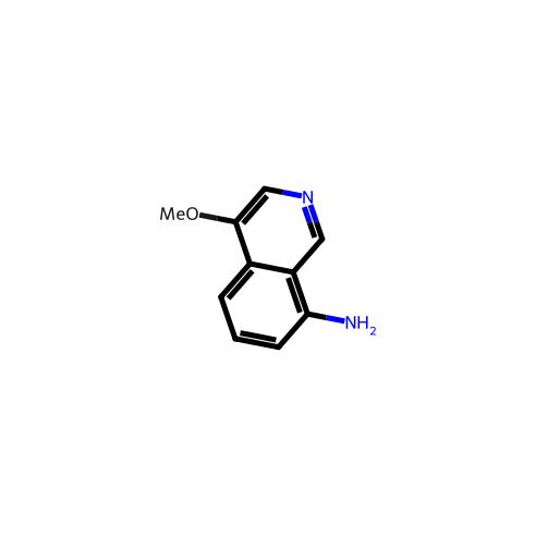 COc1cncc2c(N)cccc12